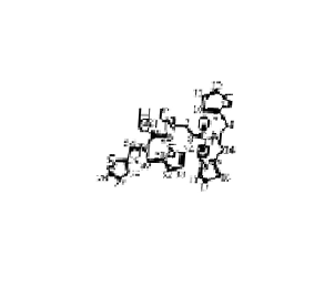 CN(CCS(=O)(=O)N(Cc1cccs1)Cc1cccs1)CC(=O)N(Cc1cccs1)Cc1cccs1